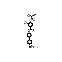 CCCCCc1ccc(-c2ccc(OC(=O)c3ccc(OC(=O)C(Cl)C(C)C)c(Cl)c3)cc2)cc1